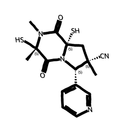 CN1C(=O)[C@@]2(S)C[C@](C)(C#N)[C@H](c3cccnc3)N2C(=O)[C@]1(C)S